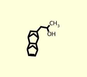 CC(O)CC1CC2CC1C1C3C=CC(C3)C21